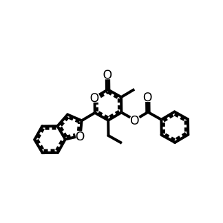 CCc1c(-c2cc3ccccc3o2)oc(=O)c(C)c1OC(=O)c1ccccc1